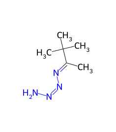 C/C(=N\N=N/N)C(C)(C)C